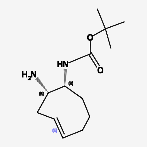 CC(C)(C)OC(=O)N[C@@H]1CCC/C=C/C[C@@H]1N